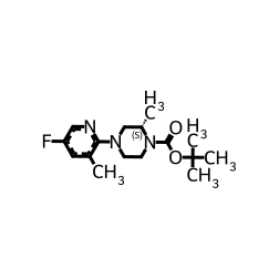 Cc1cc(F)cnc1N1CCN(C(=O)OC(C)(C)C)[C@@H](C)C1